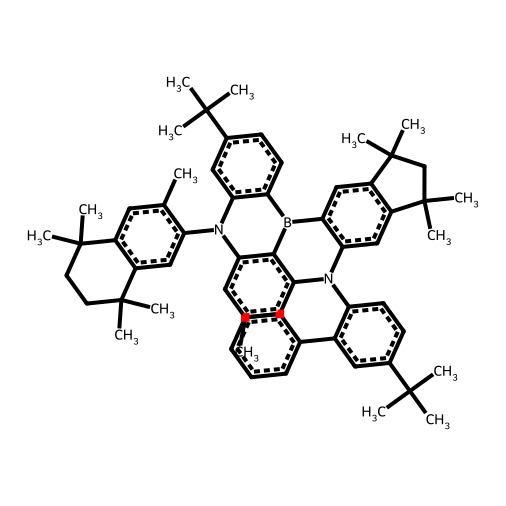 Cc1cc2c3c(c1)N(c1ccc(C(C)(C)C)cc1-c1ccccc1)c1cc4c(cc1B3c1ccc(C(C)(C)C)cc1N2c1cc2c(cc1C)C(C)(C)CCC2(C)C)C(C)(C)CC4(C)C